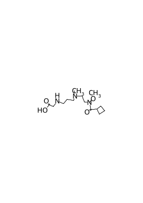 CON(CCN(C)CCCNCC(=O)O)C(=O)C1CCC1